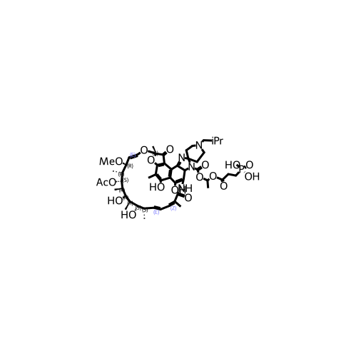 CO[C@H]1/C=C/O[C@@]2(C)Oc3c(C)c(O)c4c(c3C2=O)C2=NC3(CCN(CC(C)C)CC3)N(C(=O)OC(C)OC(=O)CCP(=O)(O)O)C2C(=C4O)NC(=O)/C(C)=C\C=C\[C@H](C)[C@H](O)[C@@H](C)[C@@H](O)[C@@H](C)[C@H](OC(C)=O)[C@@H]1C